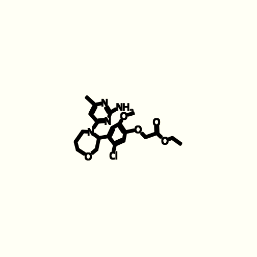 CCOC(=O)COc1cc(Cl)c(C2COCCCN2c2cc(C)nc(N)n2)cc1OC